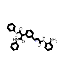 Nc1ccccc1NC(=O)/C=C/c1cccc(C(C(=O)Nc2ccccc2)C(=O)Nc2ccccc2)c1